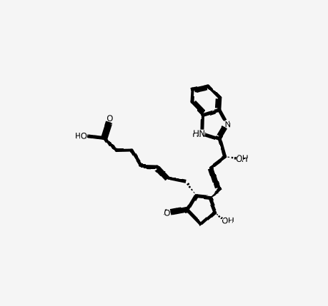 O=C(O)CCCC=CC[C@H]1C(=O)C[C@@H](O)[C@@H]1C=C[C@@H](O)c1nc2ccccc2[nH]1